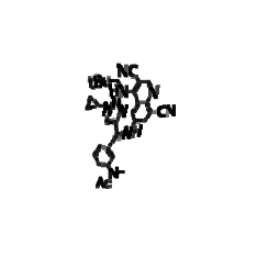 CC(=O)N(C)c1cccc([C@H](Nc2cc(C#N)c3ncc(C#N)c(NCC(C)(C)C)c3c2)c2cn(C3CC3)nn2)c1